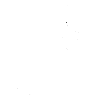 CC(C)OC[C@@H]1C[C@@H](NC(=O)CCCCCCC(=O)C(C)C)CN1C